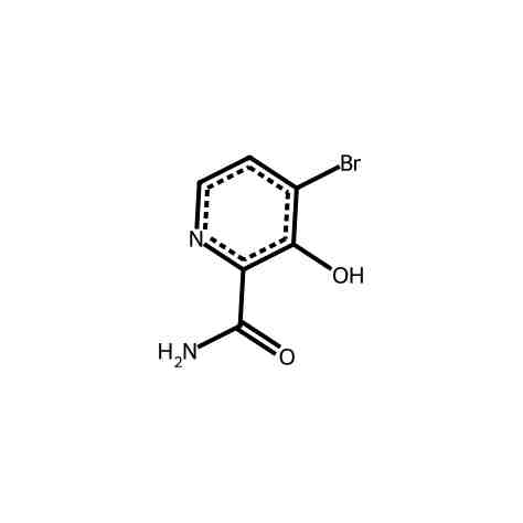 NC(=O)c1nccc(Br)c1O